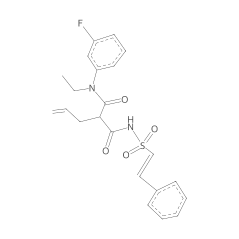 C=CCC(C(=O)NS(=O)(=O)C=Cc1ccccc1)C(=O)N(CC)c1cccc(F)c1